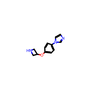 c1cn(-c2ccc(OC3CNC3)cc2)cn1